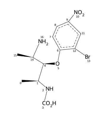 C[C@H](NC(=O)O)[C@H](Oc1ccc([N+](=O)[O-])cc1Br)[C@@H](C)N